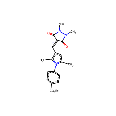 CCCCN1C(=O)/C(=C/c2cc(C)n(-c3ccc(C(=O)OCC)cc3)c2C)C(=O)N1C